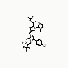 CC(=O)O[C@@H](C)c1nc(Cn2nc(-c3ccc(Cl)cc3)n(C[C@H](O)C(F)(F)F)c2=O)nn1-c1nccn1C